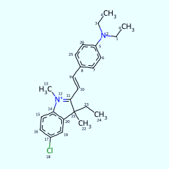 CCN(CC)c1ccc(/C=C/C2=[N+](C)c3ccc(Cl)cc3C2(C)CC)cc1